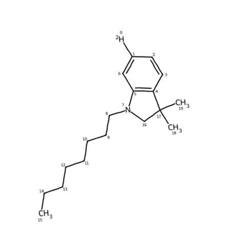 [2H]c1ccc2c(c1)N(CCCCCCCC)CC2(C)C